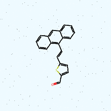 O=Cc1ccc(C=Cc2c3ccccc3cc3ccccc23)s1